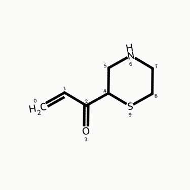 C=CC(=O)C1CNCCS1